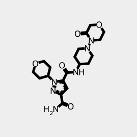 NC(=O)c1cc(C(=O)NC2CCN(N3CCOCC3=O)CC2)n(C2CCOCC2)n1